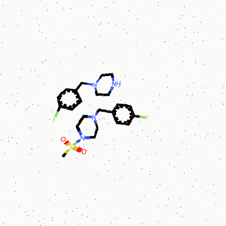 CS(=O)(=O)N1CCN(Cc2ccc(F)cc2)CC1.Fc1ccc(CN2CCNCC2)cc1